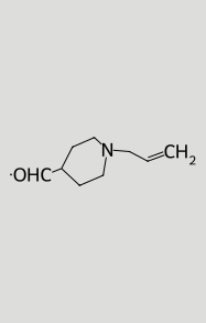 C=CCN1CCC([C]=O)CC1